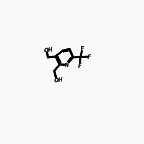 OCc1ccc(C(F)(F)F)nc1CO